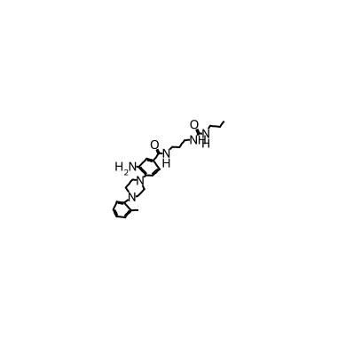 CCCNC(=O)NCCCNC(=O)c1ccc(N2CCN(c3ccccc3C)CC2)c(N)c1